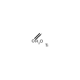 O.[C]=O.[Ti]